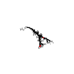 CCCCCCCCCCCCCCNC(=O)CCC(NC(=O)CCC(=O)NCCCN(CCO)CCO)C(=O)NCCCC(=O)OCC=C(CCCC)CCCC